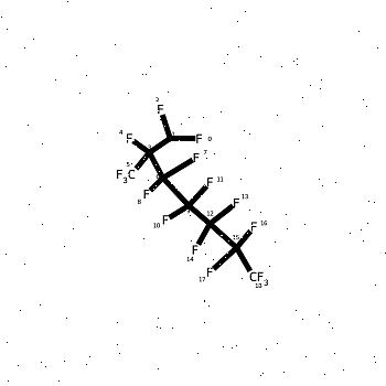 F[C](F)C(F)(C(F)(F)F)C(F)(F)C(F)(F)C(F)(F)C(F)(F)C(F)(F)F